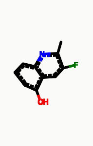 Cc1nc2cccc(O)c2cc1F